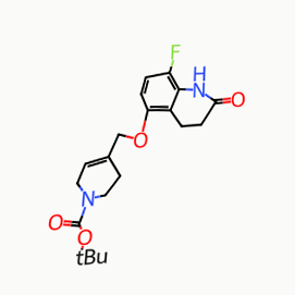 CC(C)(C)OC(=O)N1CC=C(COc2ccc(F)c3c2CCC(=O)N3)CC1